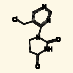 O=C1CCN(c2ncncc2CCl)C(=O)N1